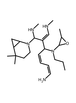 CCCN(C(/C=C\C=C/N)/C(=C/NC)C(NC)N1CCC(C)(C)C2CC21)C1OC1C